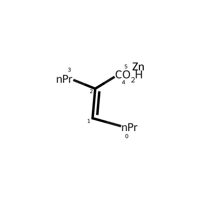 CCCC=C(CCC)C(=O)O.[Zn]